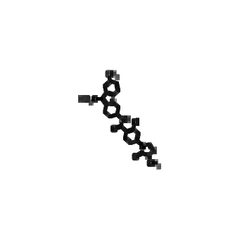 Cc1ccc2c(c1)c(C(=O)O)c1n2CC(NC(=O)c2ccc(-n3cnn(C)c3=O)cc2Cl)CC1